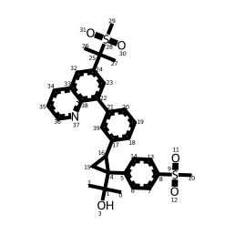 CC(C)(O)C1(c2ccc(S(C)(=O)=O)cc2)CC1c1cccc(-c2cc(C(C)(C)S(C)(=O)=O)cc3cccnc23)c1